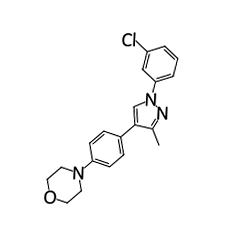 Cc1nn(-c2cccc(Cl)c2)cc1-c1ccc(N2CCOCC2)cc1